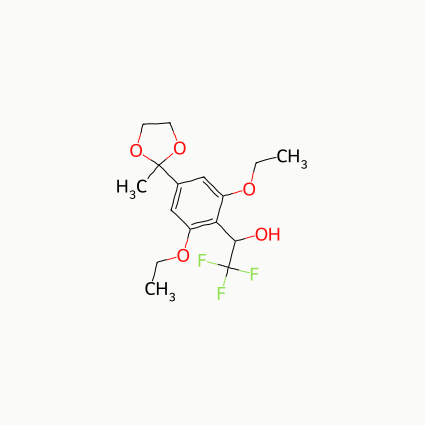 CCOc1cc(C2(C)OCCO2)cc(OCC)c1C(O)C(F)(F)F